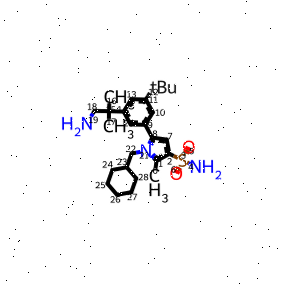 Cc1c(S(N)(=O)=O)cc(-c2cc(C(C)(C)C)cc(C(C)(C)CN)c2)n1CC1CCCCC1